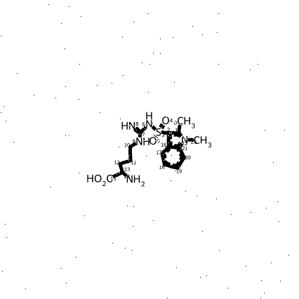 Cc1c(S(=O)(=O)NC(=N)NCCCC(N)C(=O)O)c2ccccc2n1C